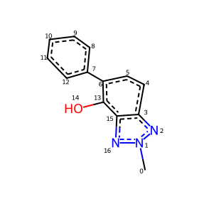 Cn1nc2ccc(-c3ccccc3)c(O)c2n1